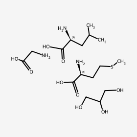 CC(C)C[C@H](N)C(=O)O.CSCC[C@H](N)C(=O)O.NCC(=O)O.OCC(O)CO